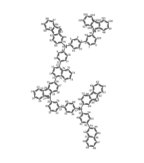 c1cc(-c2ccc(N(c3ccc(-c4ccc(-c5ccc6c(c5)c5ccccc5n6-c5cccc(-c6ccc(N(c7ccc(-c8ccc9ccccc9c8)cc7)c7ccc8c(c7)oc7ccccc78)cc6)c5)c5ccccc45)cc3)c3ccc4c(c3)sc3ccccc34)cc2)cc(-n2c3ccccc3c3ccccc32)c1